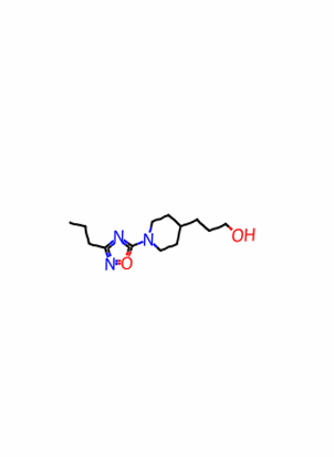 CCCc1noc(N2CCC(CCCO)CC2)n1